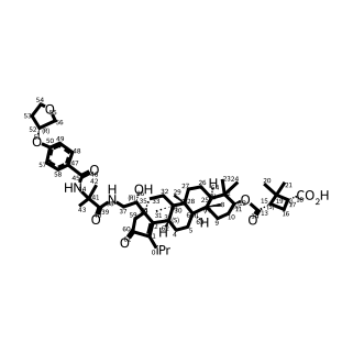 CC(C)C1=C2[C@H]3CC[C@@H]4[C@@]5(C)CC[C@H](OC(=O)[C@H]6C[C@@H](C(=O)O)C6(C)C)C(C)(C)[C@@H]5CC[C@@]4(C)[C@]3(C)CC[C@@]2([C@@H](O)CNC(=O)C(C)(C)NC(=O)c2ccc(O[C@@H]3CCOC3)cc2)CC1=O